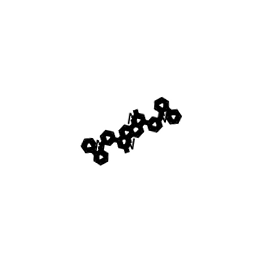 Cc1cc(-c2cccc(-n3c4ccccc4c4ccccc43)c2)c2ccc3c(ccc4c(-c5cccc(-n6c7ccccc7c7ccccc76)c5)cc(C)nc43)c2n1